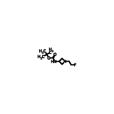 CC(C)(C)OC(=O)NC1CN(CCF)C1